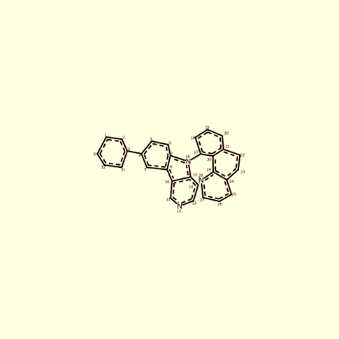 c1ccc(-c2ccc3c(c2)c2cnccc2n3-c2cccc3ccc4cccnc4c23)cc1